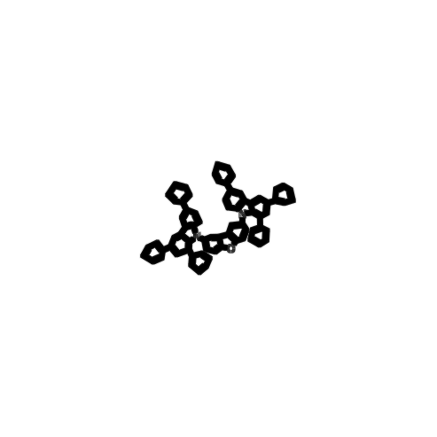 c1ccc(-c2ccc3c(c2)c2cc(-c4ccccc4)cc(-c4ccccc4)c2n3-c2ccc3oc4ccc(-n5c6ccc(-c7ccccc7)cc6c6cc(-c7ccccc7)cc(-c7ccccc7)c65)cc4c3c2)cc1